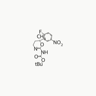 CC(C)(C)OC(=O)NC1=NCC[C@@](C)(c2cc([N+](=O)[O-])ccc2F)O1